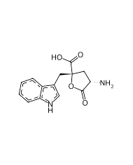 N[C@H]1C[C@@](Cc2c[nH]c3ccccc23)(C(=O)O)OC1=O